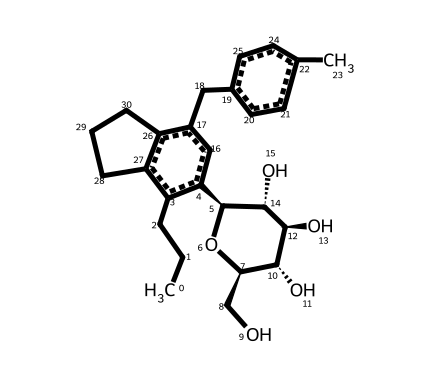 CCCc1c([C@@H]2O[C@H](CO)[C@@H](O)[C@H](O)[C@H]2O)cc(Cc2ccc(C)cc2)c2c1CCC2